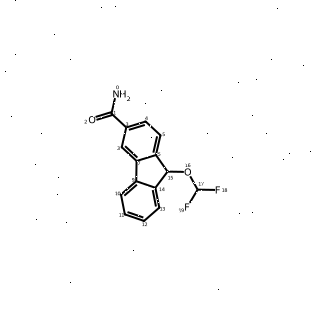 NC(=O)c1ccc2c(c1)-c1ccccc1C2OC(F)F